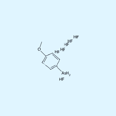 COc1ccc([AsH2])cc1.F.F.F.F.F.F